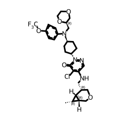 C[C@H]1[C@H]2COC[C@@H](CNc3cnn([C@H]4CC[C@H](N(C[C@@H]5COCCO5)c5ccc(OC(F)(F)F)cc5)CC4)c(=O)c3Cl)[C@@H]12